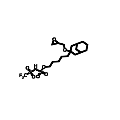 O=S(=O)(NS(=O)(=O)C(F)(F)F)OCCCCCC1(OCC2CO2)CC2CCCC(C2)C1